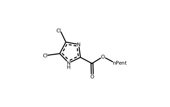 CCCCCOC(=O)c1nc(Cl)c(Cl)[nH]1